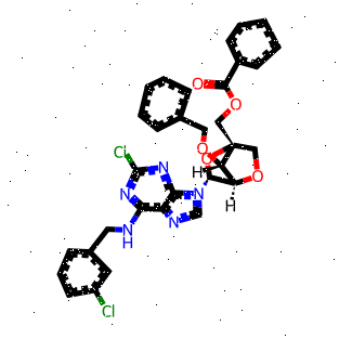 O=C(OC[C@]12CO[C@@H]([C@H](n3cnc4c(NCc5cccc(Cl)c5)nc(Cl)nc43)O1)[C@@H]2OCc1ccccc1)c1ccccc1